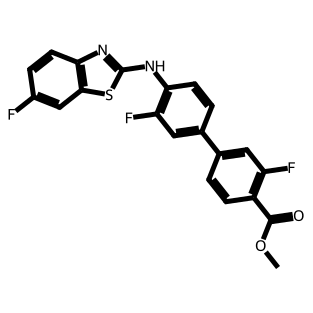 COC(=O)c1ccc(-c2ccc(Nc3nc4ccc(F)cc4s3)c(F)c2)cc1F